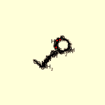 CCOCCOCCN(C)C(=O)c1cnc(N2CCN(c3ncc(CNC(=O)O[C@@H]4CC[C@@H](C[C@@H](N)[C@@H]5C[C@@H](OC)[C@H](C)/C=C(\C)[C@@H](O)[C@@H](O)C(=O)[C@H](C)C[C@H](C)/C=C/C=C/C=C(\C)[C@@H](OC)C[C@@H]6CC[C@@H](C)[C@@](O)(O6)C(=O)C(=O)N6CCCC[C@H]6C(=O)O5)C[C@H]4OC)cn3)CC2)nc1N